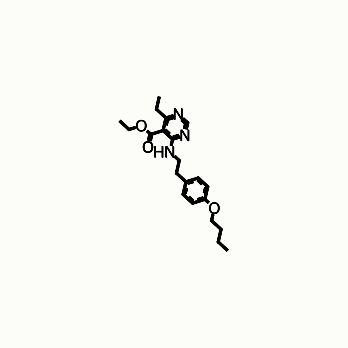 CCCCOc1ccc(CCNc2ncnc(CC)c2C(=O)OCC)cc1